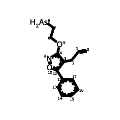 C=CCc1c(OCC[AsH2])noc1-c1ccccc1